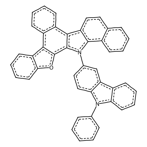 c1ccc(-n2c3ccccc3c3cc(-n4c5c6ccccc6ccc5c5c6ccccc6c6c7ccccc7oc6c54)ccc32)cc1